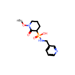 CCCCON1CCCC(P(=O)(O)NCc2cccnc2)C1=O